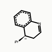 CC(C)[C@@H]1CC=Nc2ccccc21